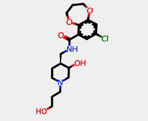 O=C(NC[C@@H]1CCN(CCCO)CC1O)c1cc(Cl)cc2c1OCCCO2